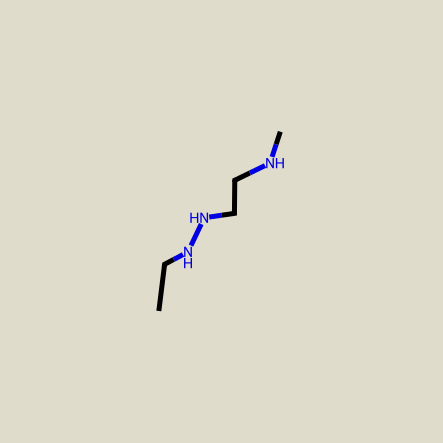 CCNNCCNC